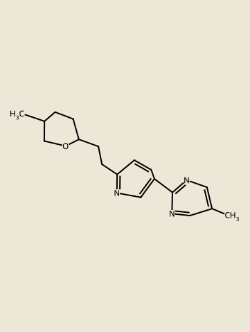 Cc1cnc(-c2ccc(CCC3CCC(C)CO3)nc2)nc1